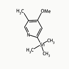 COc1c[c]([Sn]([CH3])([CH3])[CH3])ncc1C